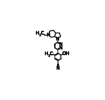 CCN1CCC2CCN(c3ccc(-c4c(C)cc(C#N)cc4O)nn3)C2C1